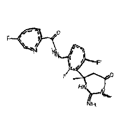 CN1C(=N)N[C@](C)(c2c(F)ccc(NC(=O)c3ccc(F)cn3)c2F)CC1=O